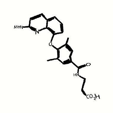 CNc1ccc2cccc(Oc3c(C)cc(C(=O)NCCC(=O)O)cc3C)c2n1